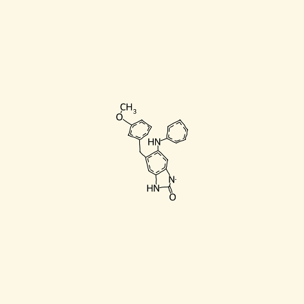 COc1cccc(Cc2cc3c(cc2Nc2ccccc2)[N]C(=O)N3)c1